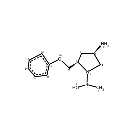 CB(O)N1C[C@H](N)C[C@@H]1COc1ccccc1